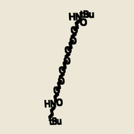 CC(C)(C)CCCCNC(=O)CCOCCOCCOCCOCCOCCOCCOCCC(=O)NC(C)(C)C